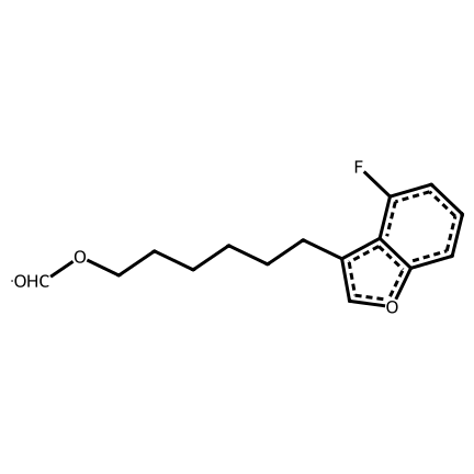 O=[C]OCCCCCCc1coc2cccc(F)c12